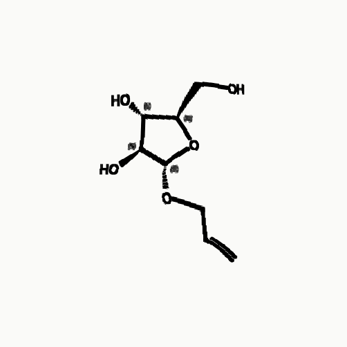 C=CCO[C@H]1O[C@H](CO)[C@@H](O)[C@@H]1O